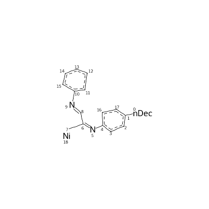 CCCCCCCCCCc1ccc(N=C(C)C=Nc2ccccc2)cc1.[Ni]